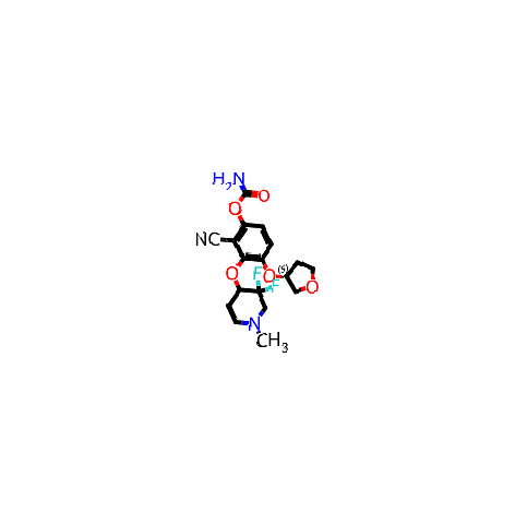 CN1CCC(Oc2c(O[C@H]3CCOC3)ccc(OC(N)=O)c2C#N)C(F)(F)C1